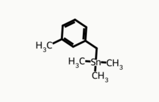 Cc1cccc([CH2][Sn]([CH3])([CH3])[CH3])c1